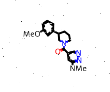 CNc1cc(C(=O)N2CCCC(c3cccc(OC)c3)C2)cnn1